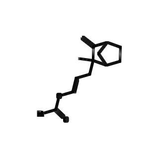 C=C1C2CCC(C2)C1(C)CC=COC(=O)CC